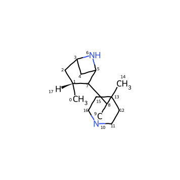 C[C@@H]1CC2CC(N2)C1C1CN2CCC1(C)CC2